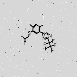 Cc1cc(C)c(-n2cnc(C(F)(F)C(F)(F)F)n2)cc1SCC(F)F